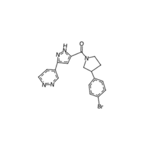 O=C(c1cc(-c2ccnnc2)n[nH]1)N1CCC(c2ccc(Br)cc2)C1